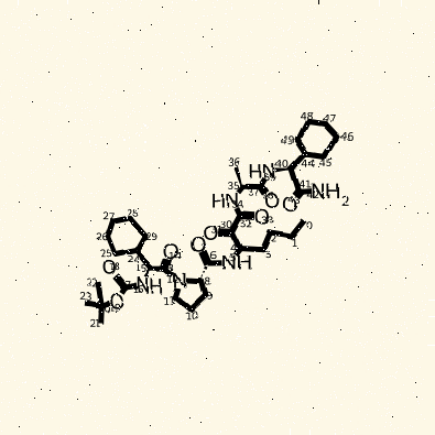 CCCCC(NC(=O)[C@@H]1CCCN1C(=O)[C@@H](NC(=O)OC(C)(C)C)C1CCCCC1)C(=O)C(=O)N[C@@H](C)C(=O)N[C@H](C(N)=O)C1CCCCC1